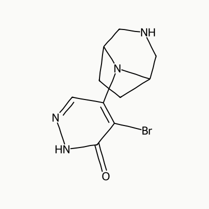 O=c1[nH]ncc(N2C3CCC2CNC3)c1Br